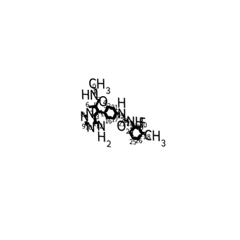 CCNC(=O)c1cn2ncnc(N)c2c1-c1ccc(NC(=O)Nc2cccc(C)c2F)cc1